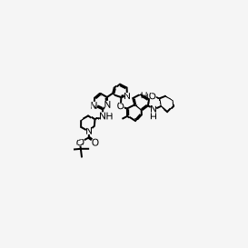 Cc1ccc2c(NC3CCCCC3O)cccc2c1Oc1ncccc1-c1ccnc(NC2CCCN(C(=O)OC(C)(C)C)C2)n1